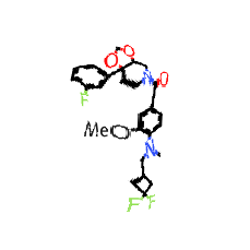 COc1cc(C(=O)N2CCC3(c4cccc(F)c4)OCOC3C2)ccc1N(C)CC1CC(F)(F)C1